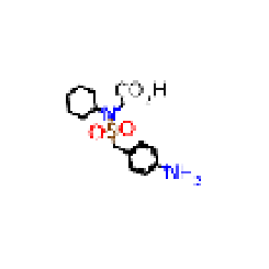 Nc1ccc(CS(=O)(=O)N(CC(=O)O)C2CCCCC2)cc1